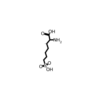 NC([CH]CCCCS(=O)(=O)O)C(=O)O